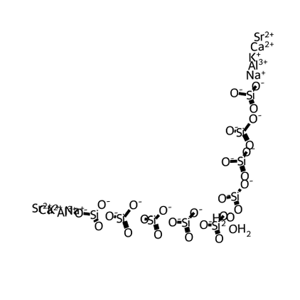 O.O.O=[Si]([O-])[O-].O=[Si]([O-])[O-].O=[Si]([O-])[O-].O=[Si]([O-])[O-].O=[Si]([O-])[O-].O=[Si]([O-])[O-].O=[Si]([O-])[O-].O=[Si]([O-])[O-].O=[Si]([O-])[O-].[Al+3].[Al+3].[Ca+2].[Ca+2].[K+].[K+].[Na+].[Na+].[Sr+2].[Sr+2]